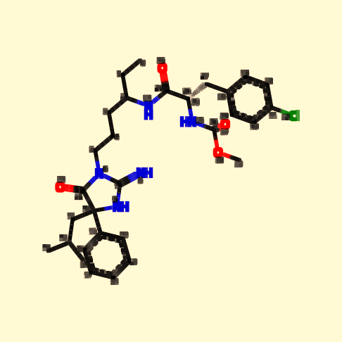 CCC(CCCN1C(=N)NC(CC(C)C)(c2ccccc2)C1=O)NC(=O)[C@H](Cc1ccc(Cl)cc1)NC(=O)OC